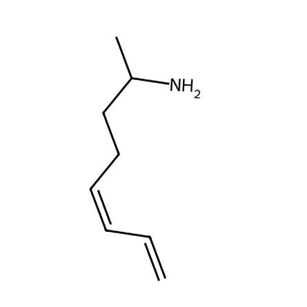 C=C/C=C\CCC(C)N